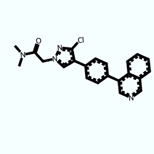 CN(C)C(=O)Cn1cc(-c2ccc(-c3cncc4ccccc34)cc2)c(Cl)n1